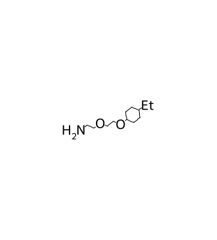 CCC1CCC(OCCOCCN)CC1